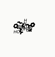 CCCC[C@H](NC(=O)CC(CS(=O)(=O)C(C)(C)C)c1ccccc1)C(=O)N[C@@H](CC1CCCCC1)[C@@H](O)[C@@H](O)C(C)C